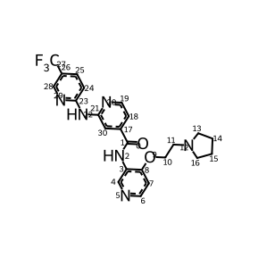 O=C(Nc1cnccc1OCCN1CCCC1)c1ccnc(Nc2ccc(C(F)(F)F)cn2)c1